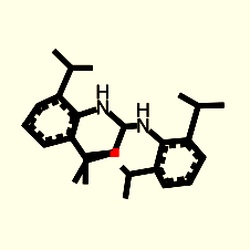 CCCC(Nc1c(C(C)C)cccc1C(C)C)Nc1c(C(C)C)cccc1C(C)C